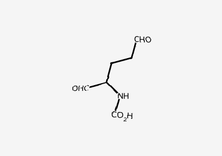 O=CCCC(C=O)NC(=O)O